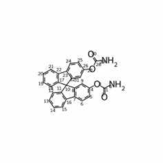 NC(=O)Oc1ccc2c(c1)C1(c3ccccc3-2)c2ccccc2-c2ccc(OC(N)=O)cc21